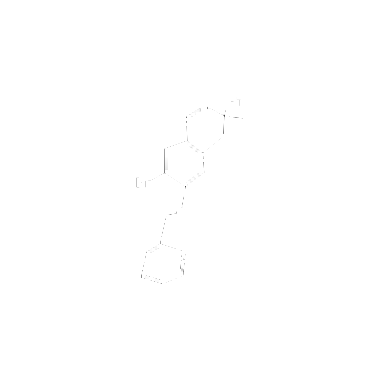 CC(C)C1(C)Cc2cc(OCc3ccccc3)c(Br)cc2C=N1